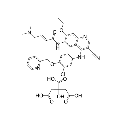 CCOc1cc2ncc(C#N)c(Nc3ccc(OCc4ccccn4)c(Cl)c3)c2cc1NC(=O)/C=C/CN(C)C.O=C(O)CC(O)(CC(=O)O)C(=O)O